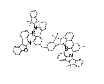 Cc1cc2c3c(c1)-n1c4c(c5cccc(c51)B3n1c3c(c5cccc-2c51)C(C)(C)c1cc(Cc2cc5c6c(c2)-n2c7oc8ccccc8c7c7cccc(c72)B6n2c6c(c7cccc-5c72)-c2ccccc2C6(C)C)ccc1-3)C(C)(C)c1ccccc1-4